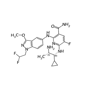 COc1nn(CC(F)F)c2ccc(Nc3nc(N[C@H](C4CC4)[C@H](C)N)c(F)cc3C(N)=O)cc12